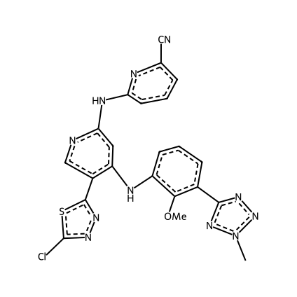 COc1c(Nc2cc(Nc3cccc(C#N)n3)ncc2-c2nnc(Cl)s2)cccc1-c1nnn(C)n1